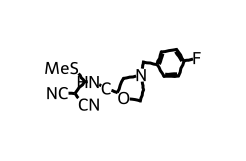 CSC(NCC1CN(Cc2ccc(F)cc2)CCO1)C(C#N)C#N